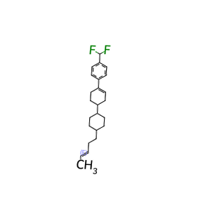 C/C=C/CCC1CCC(C2CC=C(c3ccc(C(F)F)cc3)CC2)CC1